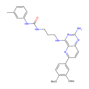 COc1ccc(-c2ccc3nc(N)nc(NCCCNC(=O)Nc4cccc(C)c4)c3n2)cc1OC